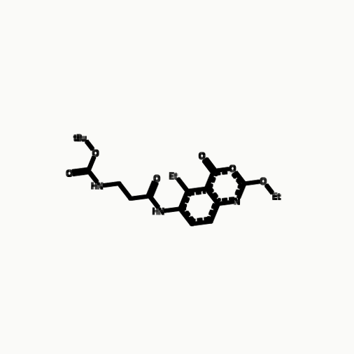 CCOc1nc2ccc(NC(=O)CCNC(=O)OC(C)(C)C)c(CC)c2c(=O)o1